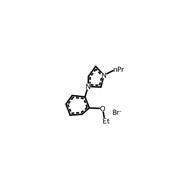 CCCn1cc[n+](-c2ccccc2OCC)c1.[Br-]